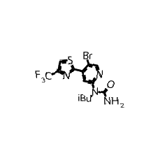 CCC(C)N(C(N)=O)c1cc(-c2nc(C(F)(F)F)cs2)c(Br)cn1